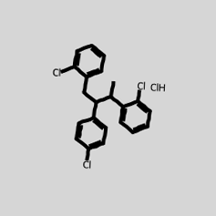 CC(c1ccccc1Cl)C(Cc1ccccc1Cl)c1ccc(Cl)cc1.Cl